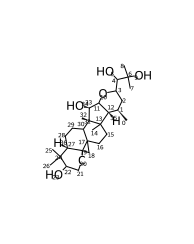 C[C@@H]1CC(C(O)C(C)(C)O)OC2[C@H]1C1(C)CCC34CC35CCC(O)C(C)(C)[C@@H]5CCC4[C@]1(C)[C@H]2O